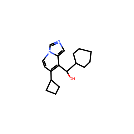 OC(c1c(C2CCC2)ccn2cncc12)C1CCCCC1